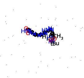 Cc1cc(-c2ncnc3[nH]c(-c4ccc(N5CCN(CC6CCN(c7ccc(N8CCC(=O)NC8=O)nc7)CC6)CC5)cn4)cc23)ccc1[C@@H](C)NC(=O)c1nc(C(C)(C)C)no1